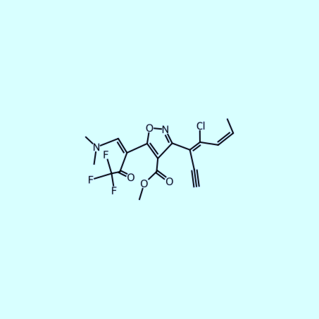 C#C/C(=C(Cl)\C=C/C)c1noc(/C(=C/N(C)C)C(=O)C(F)(F)F)c1C(=O)OC